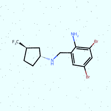 Nc1c(Br)cc(Br)cc1CN[C@@H]1CC[C@@H](C(F)(F)F)C1